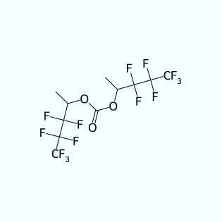 CC(OC(=O)OC(C)C(F)(F)C(F)(F)C(F)(F)F)C(F)(F)C(F)(F)C(F)(F)F